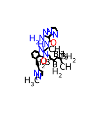 B/C(C#C)=C(B)/C(B)=C(/B)Cn1c([C@H](C)NC(=O)c2c(N)nn3cccnc23)nc2cccc(C#Cc3ccn(C)n3)c2c1=O